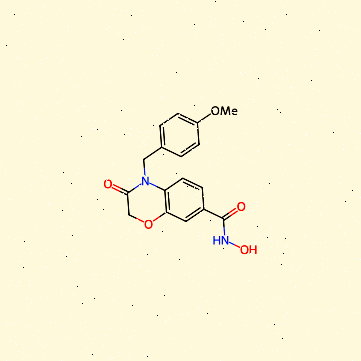 COc1ccc(CN2C(=O)COc3cc(C(=O)NO)ccc32)cc1